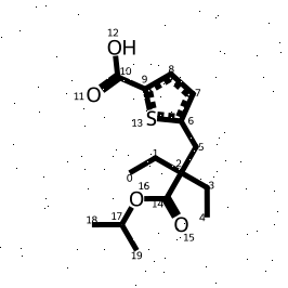 CCC(CC)(Cc1ccc(C(=O)O)s1)C(=O)OC(C)C